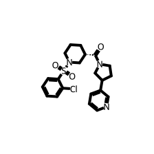 O=C([C@H]1CCCN(S(=O)(=O)c2ccccc2Cl)C1)N1CCC(c2cccnc2)C1